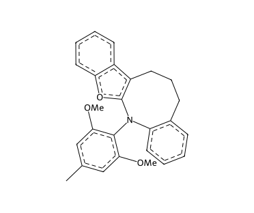 COc1cc(C)cc(OC)c1N1c2ccccc2CCCc2c1oc1ccccc21